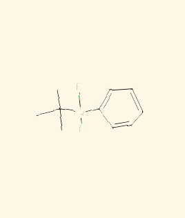 CC(C)(C)[Si](F)(F)c1ccccc1